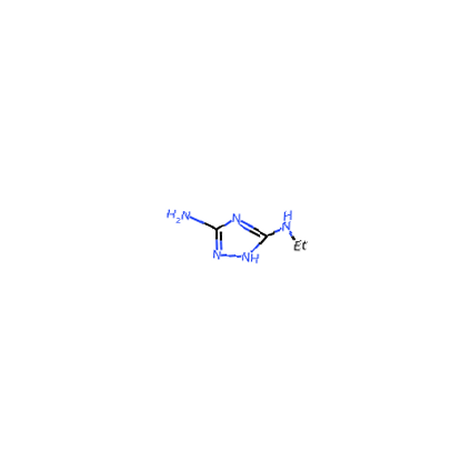 [CH2]CNc1nc(N)n[nH]1